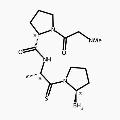 B[C@@H]1CCCN1C(=S)[C@H](C)NC(=O)[C@@H]1CCCN1C(=O)CNC